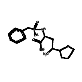 CC(CC(NP(=O)(O)Cc1ccccc1)C(=O)O)C1CCCO1